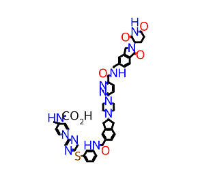 CC1(NC(=O)O)C=CN(c2cnc(Sc3cccc(NC(=O)c4ccc5c(c4)CC(N4CCN(c6ccc(C(=O)NCc7ccc8c(c7)CN(C7CCC(=O)NC7=O)C8=O)nn6)CC4)C5)c3)cn2)C=C1